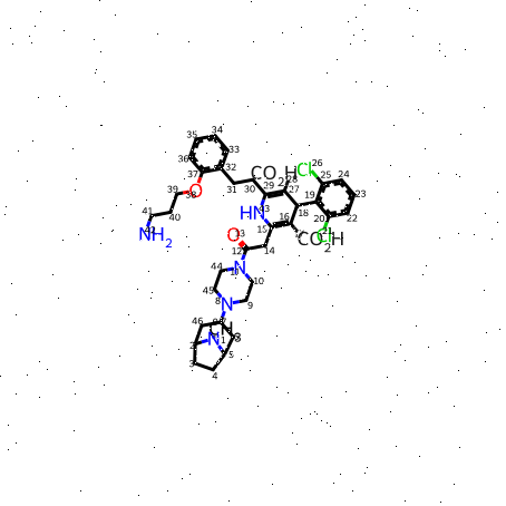 CN1C2CCC1CC(N1CCN(C(=O)CC3=C(C(=O)O)C(c4c(Cl)cccc4Cl)C(C(=O)O)=C(CCc4ccccc4OCCCN)N3)CC1)C2